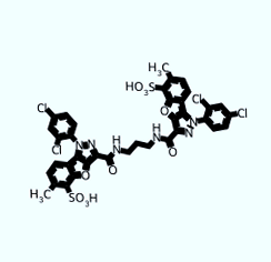 Cc1ccc2c(oc3c(C(=O)NCCCNC(=O)c4nn(-c5ccc(Cl)cc5Cl)c5c4oc4c(S(=O)(=O)O)c(C)ccc45)nn(-c4ccc(Cl)cc4Cl)c32)c1S(=O)(=O)O